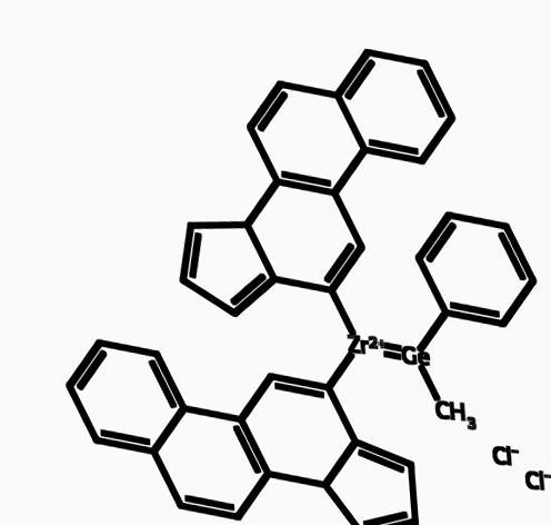 [CH3][Ge]([c]1ccccc1)=[Zr+2]([C]1=Cc2c(ccc3ccccc23)C2C=CC=C12)[C]1=Cc2c(ccc3ccccc23)C2C=CC=C12.[Cl-].[Cl-]